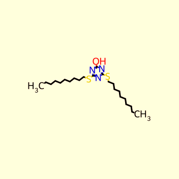 CCCCCCCCCCSc1nc(O)nc(SCCCCCCCCCC)n1